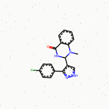 CN1c2ccccc2C(=O)NC1c1c[nH]nc1-c1ccc(F)cc1